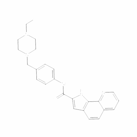 CCN1CCN(Cc2ccc(NC(=O)c3cc4ccc5cccnc5c4[nH]3)cc2)CC1